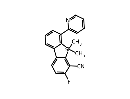 C[Si]1(C)c2c(-c3ccccn3)cccc2-c2ccc(F)c(C#N)c21